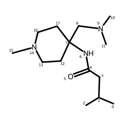 CC(C)CC(=O)NC1(CN(C)C)CCN(C)CC1